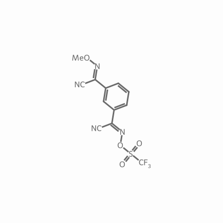 CO/N=C(\C#N)c1cccc(/C(C#N)=N/OS(=O)(=O)C(F)(F)F)c1